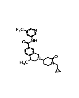 CC1CN(C2CCN(CC3CC3)C(=O)C2)Cc2cc(C(=O)Nc3cncc(C(F)(F)F)c3)ccc21